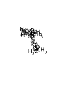 CC(C)S(=O)(=O)c1ccc(OCCCN2C(=S)N(c3ccc(C#N)c(C(F)(F)F)c3)C(=O)C2(C)C)cc1